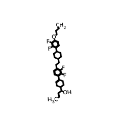 C=CCCOc1ccc(C2CCC(CCc3ccc(C4=CCC(C(O)CCC)CC4)c(F)c3F)CC2)c(F)c1F